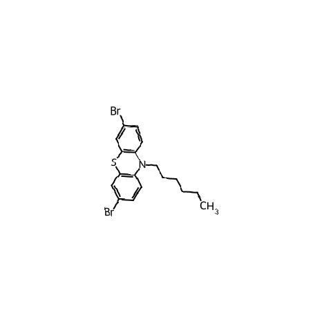 CCCCCCN1c2ccc(Br)cc2Sc2cc(Br)ccc21